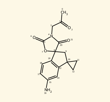 CC(=O)CN1C(=O)OC2(CC3(CC3)c3cc(N)ccc32)C1=O